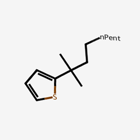 CCCCCCCC(C)(C)c1cccs1